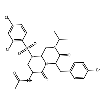 CC(=O)NC1CN(S(=O)(=O)c2ccc(Cl)cc2Cl)C2CN(C(C)C)C(=O)C(Cc3ccc(Br)cc3)N2C1=O